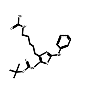 CC(C)(C)OC(=O)Nc1sc(Nc2ccccc2)nc1CCCCCNC(=O)O